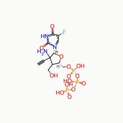 C#CC1(N)C(CO)[C@@H](COP(=O)(O)OP(=O)(O)OP(=O)(O)O)O[C@H]1n1cc(F)c(=O)[nH]c1=O